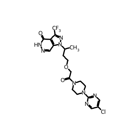 CC(CCOCC(=O)N1CCN(c2ncc(Cl)cn2)CC1)n1nc(C(F)(F)F)c2c(=O)[nH]ncc21